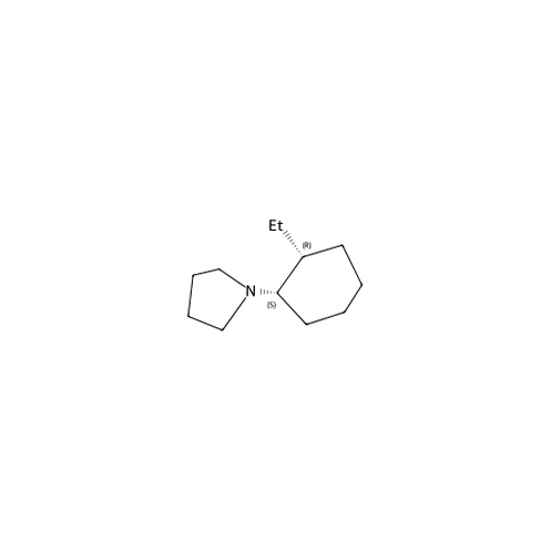 CC[C@@H]1CCCC[C@@H]1N1CCCC1